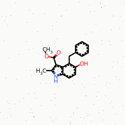 COC(=O)c1c(C)[nH]c2ccc(O)c(Cc3ccccc3)c12